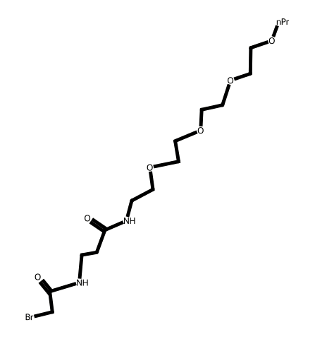 CCCOCCOCCOCCOCCNC(=O)CCNC(=O)CBr